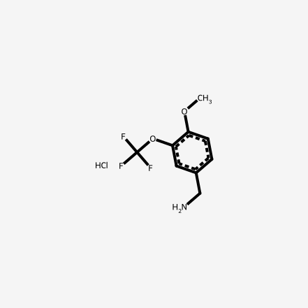 COc1ccc(CN)cc1OC(F)(F)F.Cl